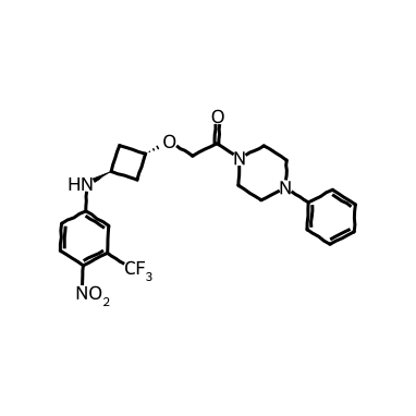 O=C(CO[C@H]1C[C@H](Nc2ccc([N+](=O)[O-])c(C(F)(F)F)c2)C1)N1CCN(c2ccccc2)CC1